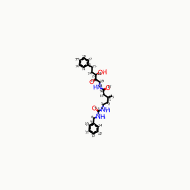 CC(CCNC(=O)NCc1ccccc1)CC(=O)NCC(=O)C(O)CCc1ccccc1